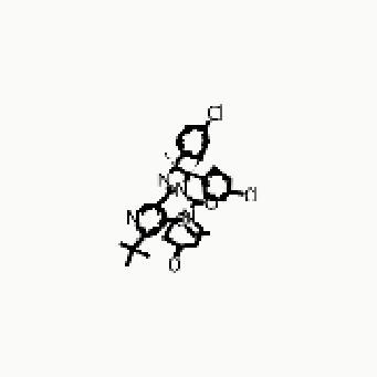 CCOc1cc(C(C)(C)C)ncc1C1=N[C@@](C)(c2ccc(Cl)cc2)[C@@](C)(c2ccc(Cl)cc2)N1C(=O)N1CCC(=O)CC1